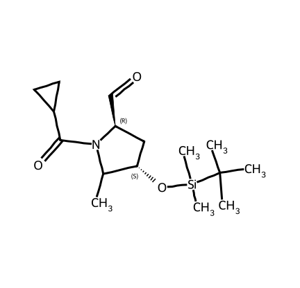 CC1[C@@H](O[Si](C)(C)C(C)(C)C)C[C@H](C=O)N1C(=O)C1CC1